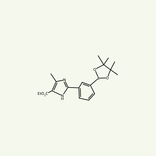 CCOC(=O)c1[nH]c(-c2cccc(B3OC(C)(C)C(C)(C)O3)c2)nc1C